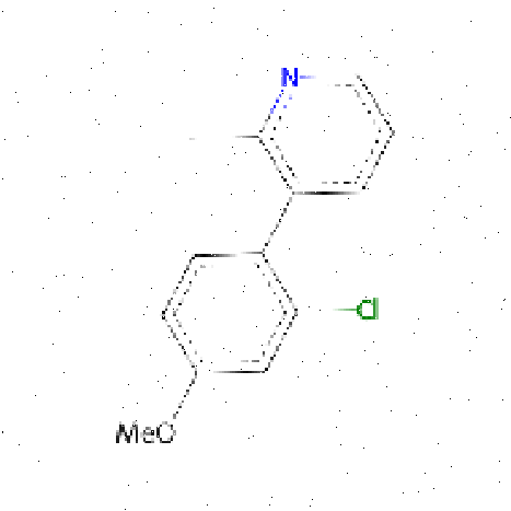 COc1ccc(-c2cccnc2C)c(Cl)c1